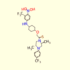 C[C@@H]1CN(C(=S)COC2CCC(Nc3ccc(N(O)O)c(C(F)(F)F)c3)CC2)[C@@H](C)CN1c1ccc(C(F)(F)F)cc1